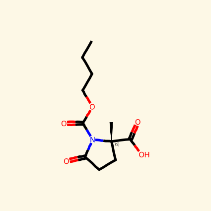 CCCCOC(=O)N1C(=O)CC[C@@]1(C)C(=O)O